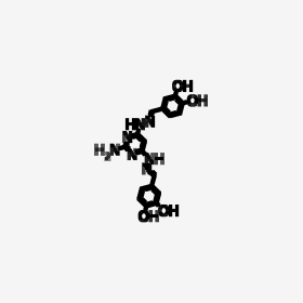 Nc1nc(NN=Cc2ccc(O)c(O)c2)cc(NN=Cc2ccc(O)c(O)c2)n1